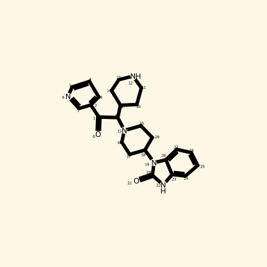 O=C(c1cccnc1)C(C1CCNCC1)N1CCC(n2c(=O)[nH]c3ccccc32)CC1